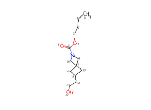 CCCCOC(=O)N1CC2(CC(CCO)C2)C1